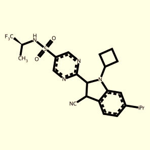 CC(C)c1ccc2c(c1)N(C1CCC1)C(c1ncc(S(=O)(=O)N[C@@H](C)C(F)(F)F)cn1)C2C#N